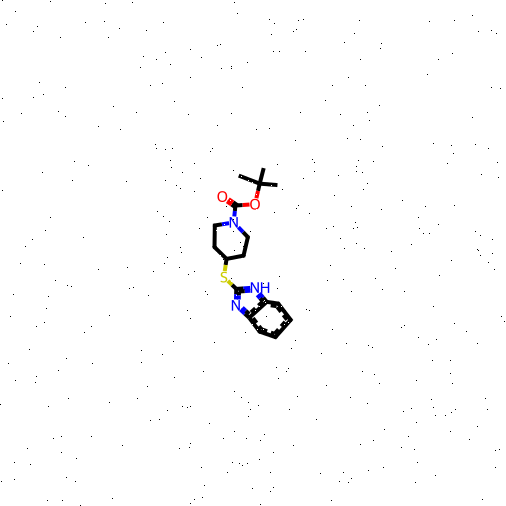 CC(C)(C)OC(=O)N1CCC(Sc2nc3ccccc3[nH]2)CC1